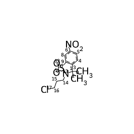 CC1(C)c2ccc([N+](=O)[O-])cc2S(=O)(=O)N1CCCCl